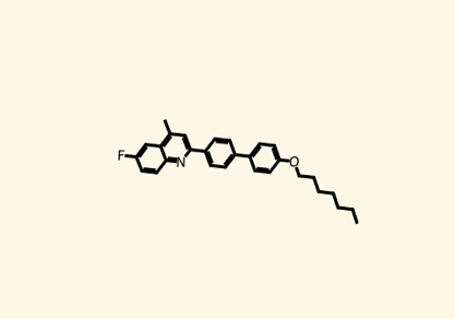 CCCCCCCOc1ccc(-c2ccc(-c3cc(C)c4cc(F)ccc4n3)cc2)cc1